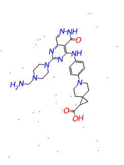 NCN1CCN(c2nc(Nc3ccc(N4CCC5(CC4)CC5C(=O)O)cc3)c3c(=O)[nH]ncc3n2)CC1